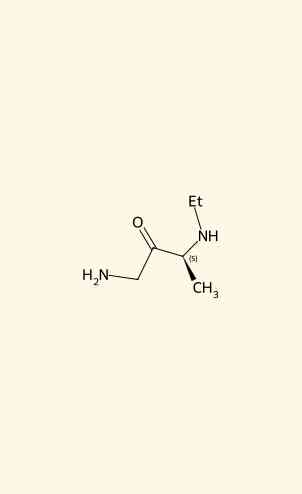 CCN[C@@H](C)C(=O)CN